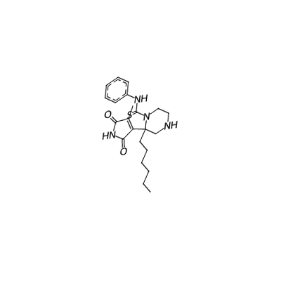 CCCCCCC1(C2=C(C)C(=O)NC2=O)CNCCN1C(=S)Nc1ccccc1